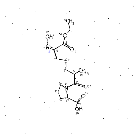 CCOC(=O)/C(CSCC(C)C(=O)N1CCCC1C(=O)O)=N\O